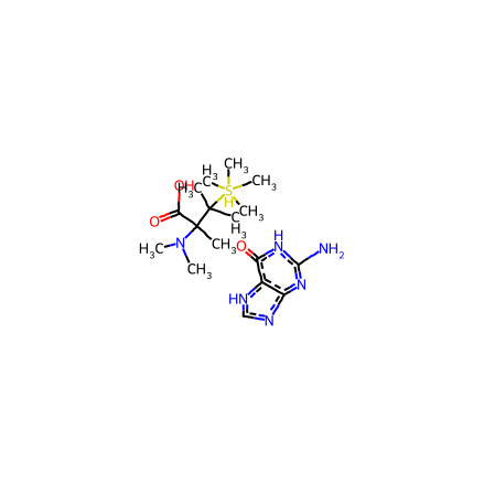 CN(C)C(C)(C(=O)O)C(C)(C)[SH](C)(C)(C)C.Nc1nc2nc[nH]c2c(=O)[nH]1